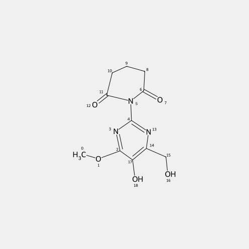 COc1nc(N2C(=O)CCCC2=O)nc(CO)c1O